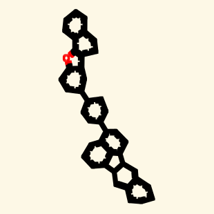 C1=c2ccccc2=CC2c3ccc(-c4ccc(-c5ccc6oc7c8ccccc8ccc7c6c5)cc4)c4cccc(c34)C12